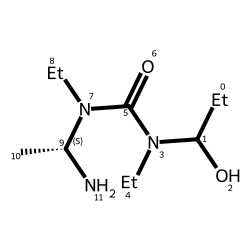 CCC(O)N(CC)C(=O)N(CC)[C@@H](C)N